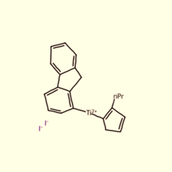 CCCC1=[C]([Ti+2][c]2cccc3c2Cc2ccccc2-3)CC=C1.[I-].[I-]